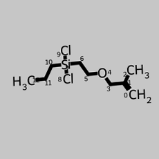 C=C(C)COCC[Si](Cl)(Cl)CCC